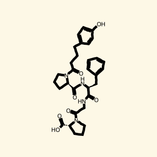 O=C(NCC(=O)N1CCC[C@@H]1C(=O)O)[C@H](Cc1ccccc1)NC(=O)[C@H]1CCCN1C(=O)CCCc1ccc(O)cc1